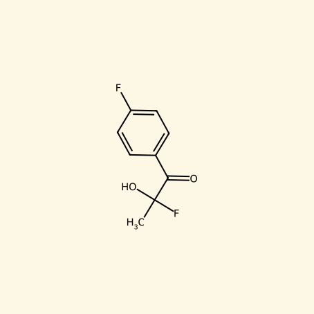 CC(O)(F)C(=O)c1ccc(F)cc1